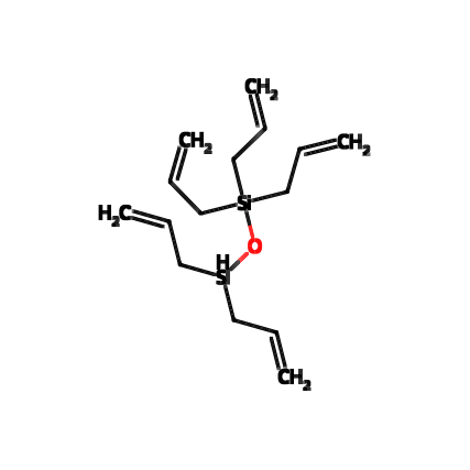 C=CC[SiH](CC=C)O[Si](CC=C)(CC=C)CC=C